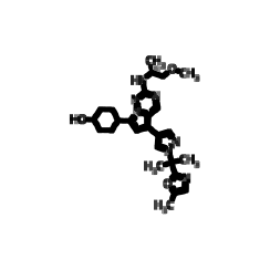 COC[C@H](C)Nc1ncc2c(-c3cnn(C(C)(C)c4ncc(C)o4)c3)cc(C3CCC(O)CC3)n2n1